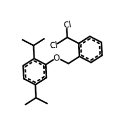 CC(C)c1ccc(C(C)C)c(OCc2ccccc2C(Cl)Cl)c1